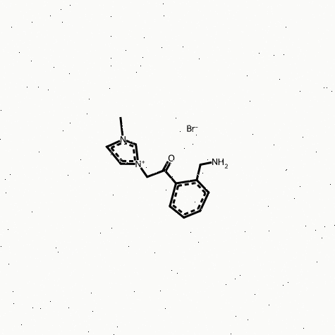 Cn1cc[n+](CC(=O)c2ccccc2CN)c1.[Br-]